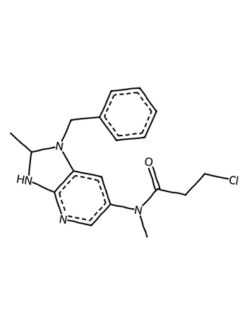 CC1Nc2ncc(N(C)C(=O)CCCl)cc2N1Cc1ccccc1